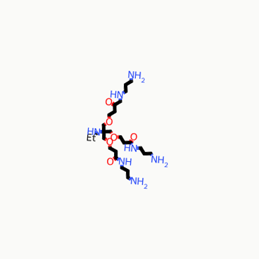 CCNC(COCCC(=O)CNCCCN)(COCCC(=O)NCCCN)COCCC(=O)NCCCN